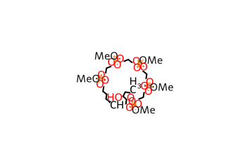 C#CCCCCOP(=O)(OC)OCCCOP(=O)(OC)OCCCOP(=O)(OC)OCCCOP(=O)(OC)OCCCOP(=O)(OC)OCC1OC(C)CC1O